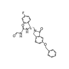 O=CNC(=O)N[C@@H](CN1Cc2ccc(OCc3ccccc3)cc2C1=O)c1ccc(F)cc1